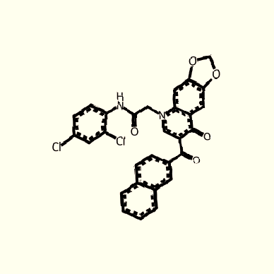 O=C(Cn1cc(C(=O)c2ccc3ccccc3c2)c(=O)c2cc3c(cc21)OCO3)Nc1ccc(Cl)cc1Cl